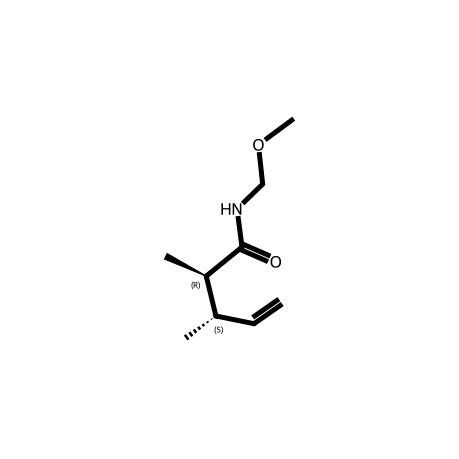 C=C[C@H](C)[C@@H](C)C(=O)NCOC